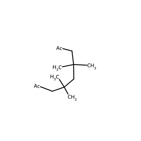 CC(=O)CC(C)(C)CC(C)(C)CC(C)=O